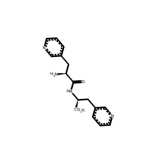 N[C@@H](Cc1cccnc1)C(=O)N[C@@H](Cc1cccnc1)C(=O)O